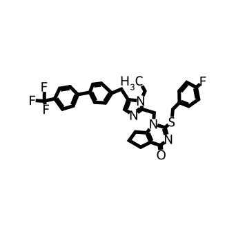 CCn1c(Cc2ccc(-c3ccc(C(F)(F)F)cc3)cc2)cnc1Cn1c(SCc2ccc(F)cc2)nc(=O)c2c1CCC2